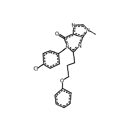 Cn1cnc2c(=O)n(-c3ccc(Cl)cc3)c(CCCOc3ccccc3)nc21